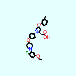 CCOc1ccc(F)c(N2CCC(Oc3ccc(N4C[C@H](Oc5cccc(C)c5)C[C@@H]4CC(=O)O)cc3)CC2)c1